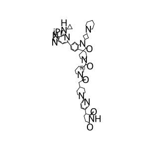 CC(C)n1cnc2cc(-c3ccc4c(c3)N([C@H]3C[C@@H](N5CCCCC5)C3)C(=O)C43CCN(C(=O)[C@@H]4CCCN(C(=O)CC5CCN(c6ccc(C7CCC(=O)NC7=O)cn6)CC5)C4)CC3)nc(NC3CC3)c21